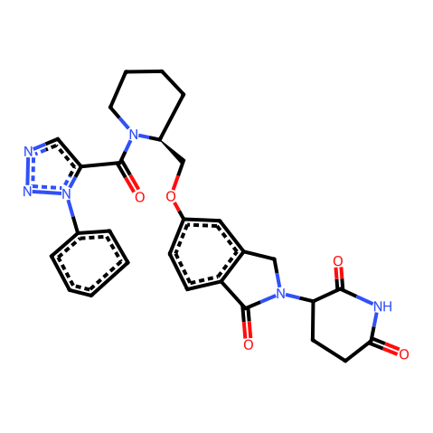 O=C1CCC(N2Cc3cc(OC[C@@H]4CCCCN4C(=O)c4cnnn4-c4ccccc4)ccc3C2=O)C(=O)N1